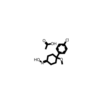 CC(=O)O.COC1(c2ccc(Cl)cc2)CCC(=NO)CC1